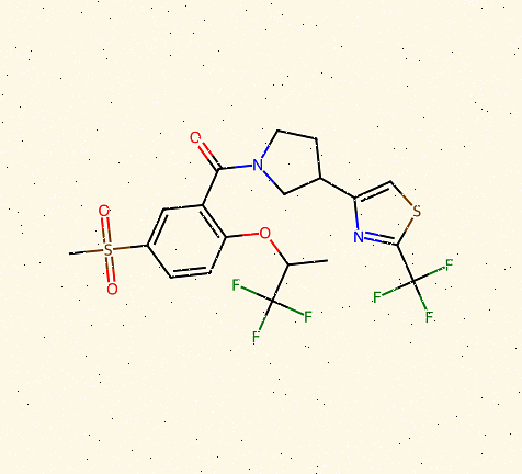 CC(Oc1ccc(S(C)(=O)=O)cc1C(=O)N1CCC(c2csc(C(F)(F)F)n2)C1)C(F)(F)F